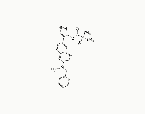 CN(Cc1ccccc1)c1cnc2cc(-c3c[nH]nc3OC(=O)C(C)(C)C)ccc2n1